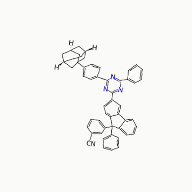 N#Cc1cccc(C2(c3ccccc3)c3ccccc3-c3cc(-c4nc(-c5ccccc5)nc(-c5ccc(C67C[C@H]8C[C@@H](C6)C[C@@H](C7)C8)cc5)n4)ccc32)c1